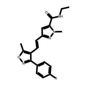 CCNC(=O)c1cc(C=Cc2c(-c3ccc(F)cc3)noc2C)nn1C